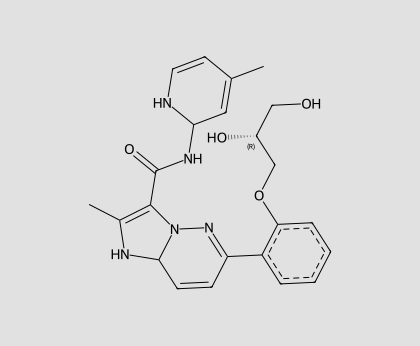 CC1=CC(NC(=O)C2=C(C)NC3C=CC(c4ccccc4OC[C@H](O)CO)=NN23)NC=C1